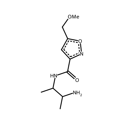 COCc1cc(C(=O)NC(C)C(C)N)no1